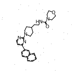 O=C(NCCC1CCN(c2nccc(-c3ccc4ccccc4c3)n2)CC1)N1CCOCC1